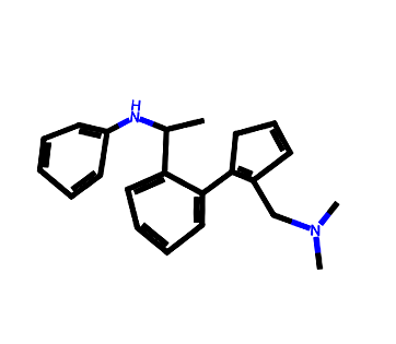 CC(Nc1ccccc1)c1ccccc1C1=C(CN(C)C)C=CC1